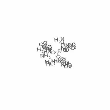 Cl.NCCCC[C@@](N)(C(=O)Nc1ccc(C(c2ccc(NC(=O)[C@](N)(CCCCN)C(=O)C3COc4ccccc4O3)cc2)c2ccc(NC(=O)[C@](N)(CCCCN)C(=O)C3COc4ccccc4O3)cc2)cc1)C(=O)C1COc2ccccc2O1